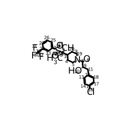 CC(C)(C1CCN(C(=O)[C@@H](O)Cc2ccc(Cl)cc2)CC1)S(=O)(=O)c1cccc(C(F)(F)F)c1